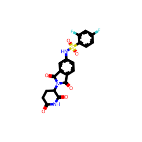 O=C1CCC(N2C(=O)c3ccc(NS(=O)(=O)c4ccc(F)cc4F)cc3C2=O)C(=O)N1